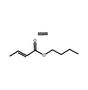 C/C=C/C(=O)OCCCC.C=C